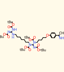 CC(=N)c1ccc(OCCCCCN(C(=O)OC(C)(C)C)/C(=N\C(=O)OC(C)(C)C)N(CCCCCCCN/C(=N\C(=O)OC(C)(C)C)NC(=O)OC(C)(C)C)C(=O)OC(C)(C)C)cc1